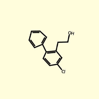 OCCc1cc(Cl)ccc1-c1ccccc1